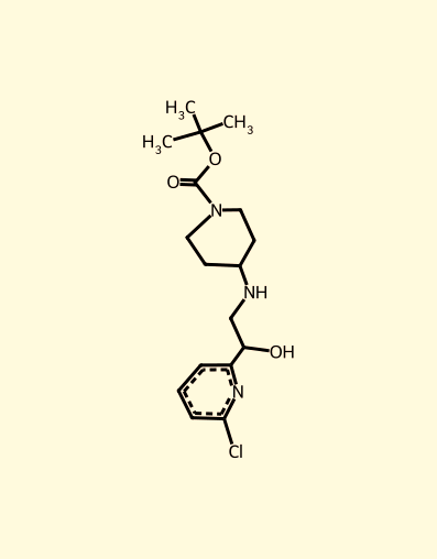 CC(C)(C)OC(=O)N1CCC(NCC(O)c2cccc(Cl)n2)CC1